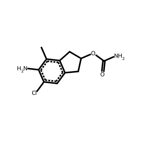 Cc1c(N)c(Cl)cc2c1CC(OC(N)=O)C2